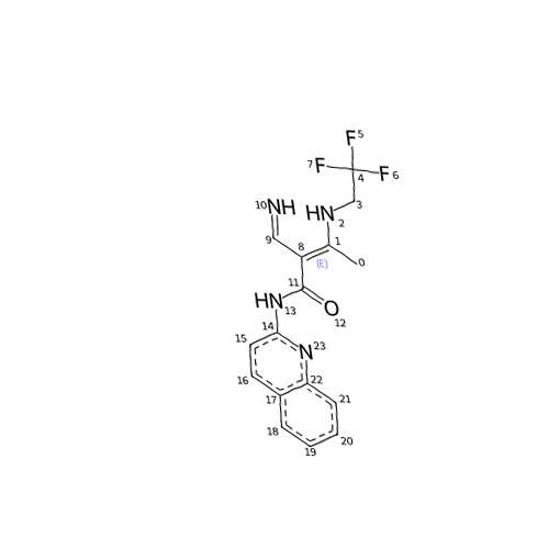 C/C(NCC(F)(F)F)=C(/C=N)C(=O)Nc1ccc2ccccc2n1